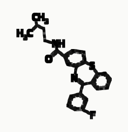 CC(C)CCNC(=O)c1ccc2c(c1)N=C(c1cccc(F)c1)c1ccccc1S2